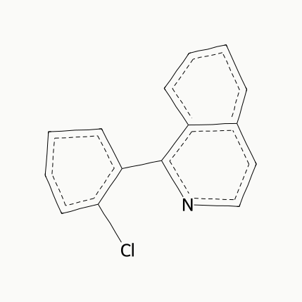 Clc1ccccc1-c1nccc2ccccc12